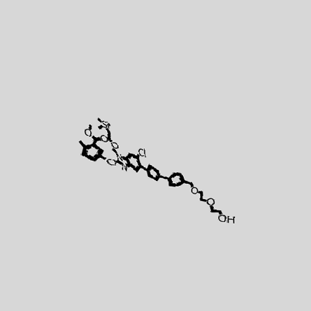 COC(=O)c1cc(Oc2nc3cc(-c4ccc(-c5ccc(COCCOCCO)cc5)cc4)c(Cl)cc3n2COCC[Si](C)(C)C)ccc1C